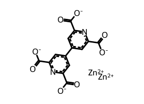 O=C([O-])c1cc(-c2cc(C(=O)[O-])nc(C(=O)[O-])c2)cc(C(=O)[O-])n1.[Zn+2].[Zn+2]